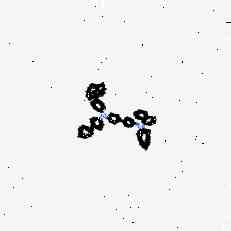 c1ccc(-c2ccc(N(c3ccc(-c4ccc(N(c5ccccc5)c5cccc6ccccc56)cc4)cc3)c3ccc(C45CC6CC4CC6C5)cc3)cc2)cc1